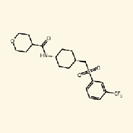 O=C(N[C@H]1CC[C@H](CS(=O)(=O)c2cccc(C(F)(F)F)c2)CC1)C1CCOCC1